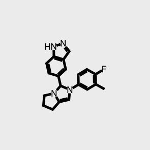 Cc1cc(N2C=C3CCCN3C2c2ccc3[nH]ncc3c2)ccc1F